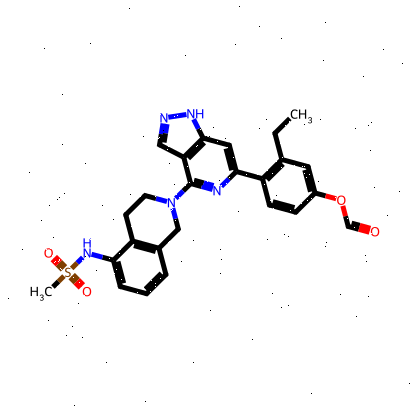 CCc1cc(OC=O)ccc1-c1cc2[nH]ncc2c(N2CCc3c(cccc3NS(C)(=O)=O)C2)n1